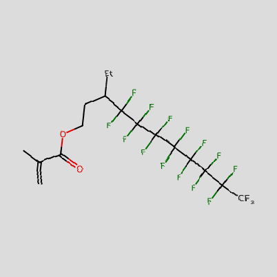 C=C(C)C(=O)OCCC(CC)C(F)(F)C(F)(F)C(F)(F)C(F)(F)C(F)(F)C(F)(F)C(F)(F)C(F)(F)F